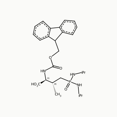 CC(C)NP(=O)(C[C@H](C)[C@H](NC(=O)OCC1c2ccccc2-c2ccccc21)C(=O)O)NC(C)C